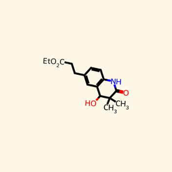 CCOC(=O)CCc1ccc2c(c1)C(O)C(C)(C)C(=O)N2